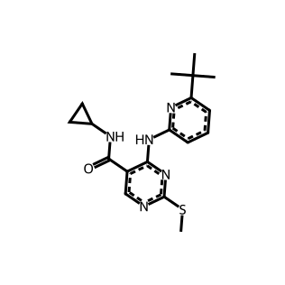 CSc1ncc(C(=O)NC2CC2)c(Nc2cccc(C(C)(C)C)n2)n1